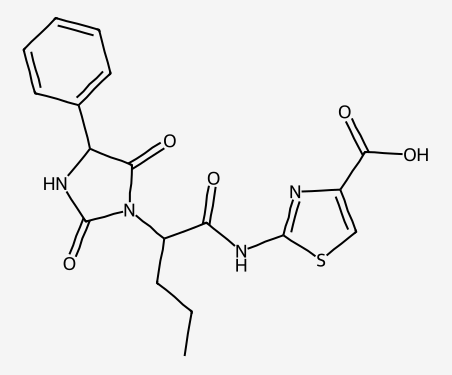 CCCC(C(=O)Nc1nc(C(=O)O)cs1)N1C(=O)NC(c2ccccc2)C1=O